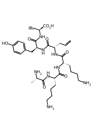 C=CC[C@H](NC(=O)[C@H](CCCCN)NC(=O)[C@H](CCCCN)NC(=O)[C@H](C)N)C(=O)N[C@@H](Cc1ccc(O)cc1)C(=O)N[C@H](C(=O)O)C(C)CC